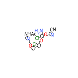 CC(=O)NC1CCN(CCCOc2cccc(-c3cccc(COc4cc(OCc5cncc(C#N)c5)c(CN)cc4Cl)c3C)c2Cl)C1